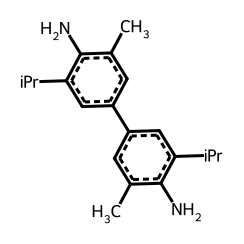 Cc1cc(-c2cc(C)c(N)c(C(C)C)c2)cc(C(C)C)c1N